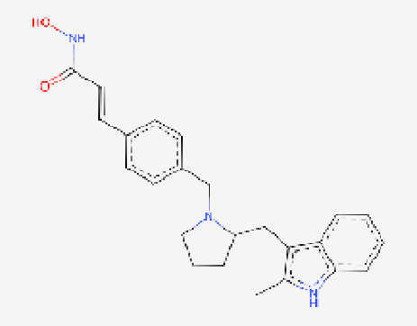 Cc1[nH]c2ccccc2c1CC1CCCN1Cc1ccc(C=CC(=O)NO)cc1